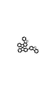 c1ccc2c(c1)-c1ccc(-c3ccc4oc5ccccc5c4c3)cc1C21c2ccccc2-c2c1ccc1oc3ccccc3c21